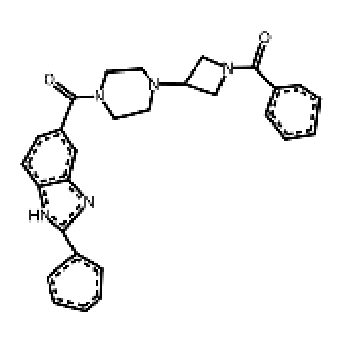 O=C(c1ccc2[nH]c(-c3ccccc3)nc2c1)N1CCN(C2CN(C(=O)c3ccccc3)C2)CC1